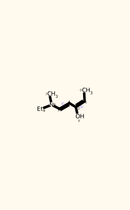 C/C=C(O)\C=C\N(C)CC